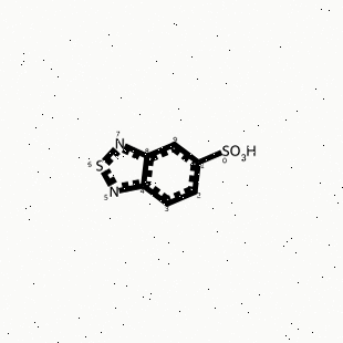 O=S(=O)(O)c1ccc2nsnc2c1